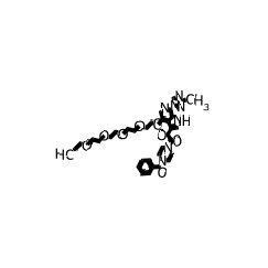 C#CCOCCOCCOCCOCCOc1cnc(-n2cnc(C)n2)c2[nH]cc(C(=O)C(=O)N3CCN(C(=O)c4ccccc4)CC3)c12